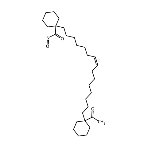 CC(=O)C1(CCCCCCC/C=C\CCCCCCC2(C(=O)N=O)CCCCC2)CCCCC1